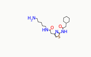 NCCCCCNC(=O)Cc1csc(NC(=O)CC2CCCCC2)n1